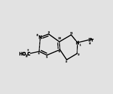 CC(C)N1CCc2cc(C(=O)O)ncc2C1